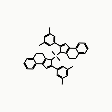 Cc1cc(C)cc(C2=CC3=C(CCc4ccccc43)C2[Si](C)(C)C2C(c3cc(C)cc(C)c3)=CC3=C2CCc2ccccc23)c1